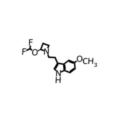 COc1ccc2[nH]cc(CCN3CC[C@@H]3OC(F)F)c2c1